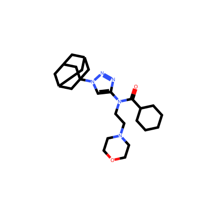 O=C(C1CCCCC1)N(CCN1CCOCC1)c1cn(C23CC4CC(CC(C4)C2)C3)nn1